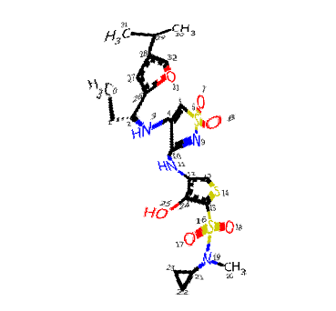 CC[C@@H](NC1=CS(=O)(=O)N=C1Nc1csc(S(=O)(=O)N(C)C2CC2)c1O)c1cc(C(C)C)co1